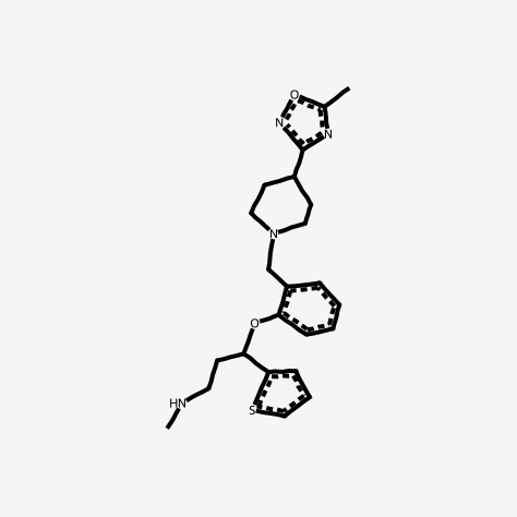 CNCCC(Oc1ccccc1CN1CCC(c2noc(C)n2)CC1)c1cccs1